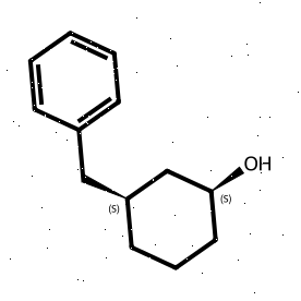 O[C@H]1CCC[C@@H](Cc2ccccc2)C1